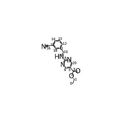 CCOC(=O)c1cnc(NCc2cccc(C#N)c2)nc1